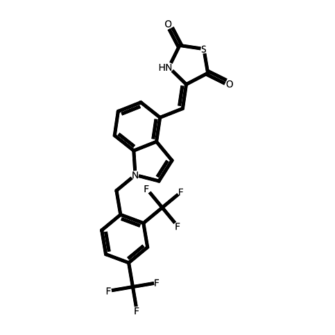 O=C1NC(=Cc2cccc3c2ccn3Cc2ccc(C(F)(F)F)cc2C(F)(F)F)C(=O)S1